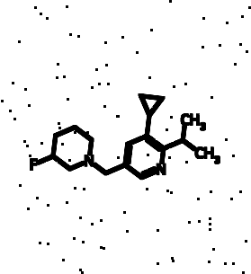 CC(C)c1ncc(CN2CCCC(F)C2)cc1C1CC1